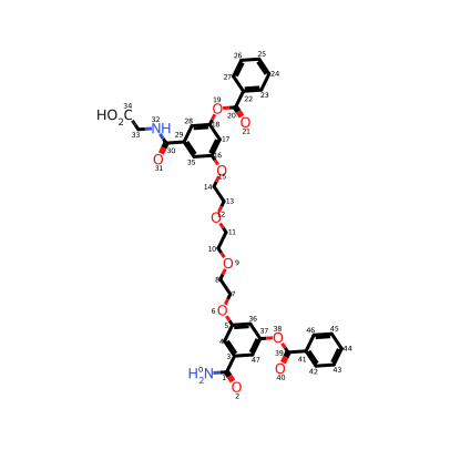 NC(=O)c1cc(OCCOCCOCCOc2cc(OC(=O)c3ccccc3)cc(C(=O)NCC(=O)O)c2)cc(OC(=O)c2ccccc2)c1